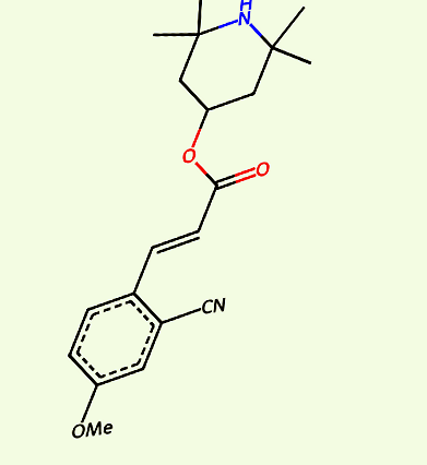 COc1ccc(C=CC(=O)OC2CC(C)(C)NC(C)(C)C2)c(C#N)c1